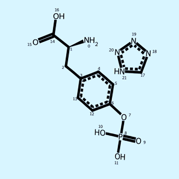 N[C@@H](Cc1ccc(OP(=O)(O)O)cc1)C(=O)O.c1nnn[nH]1